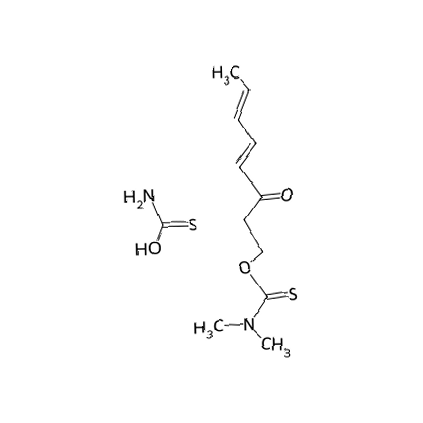 CC=CC=CC(=O)CCOC(=S)N(C)C.NC(O)=S